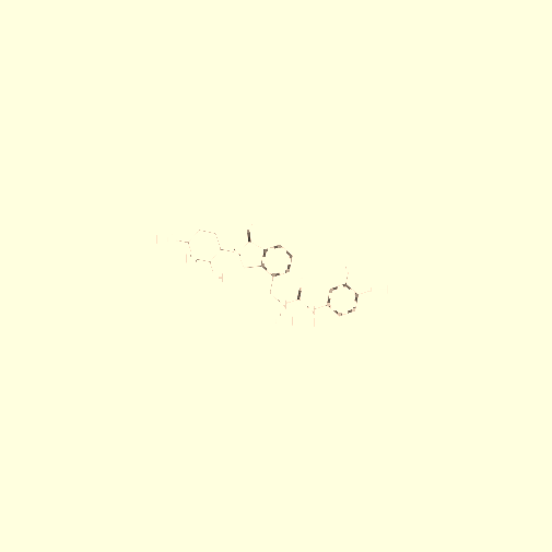 Cc1ccc(NC(=O)N(C)Cc2cccc3c2CN(C2CCC(O)NC2O)C3=O)cc1Cl